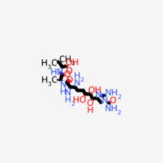 CC(C)[C@H](NC(=O)[C@H](C)NC(=O)C(N)C(N)CCC(O)C(O)C(O)C1CN(C(N)=O)C(N)=N1)C(=O)O